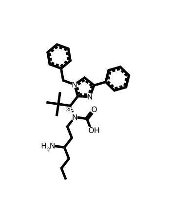 CCCC(N)CCN(C(=O)O)[C@@H](c1nc(-c2ccccc2)cn1Cc1ccccc1)C(C)(C)C